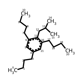 CCCCc1cc(CCCC)c([CH]C(C)C)c(CCCC)c1